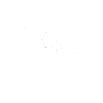 C[C@]12CC[C@H]3[C@@H](CC=C4C[C@@H](O)CC[C@@]43C)[C@@H]1[C@H]1C[C@H]1[C@@H]2C(=O)CO